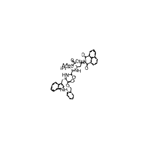 COP(=O)(OC)C(CCN1C(=O)c2cccc3cccc(c23)C1=O)N[C@@H](CC(C)C)C(=O)N[C@@H](Cc1c[nH]c2ccccc12)C(=O)OCc1ccccc1